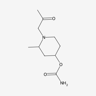 CC(=O)CN1CCC(OC(N)=O)CC1C